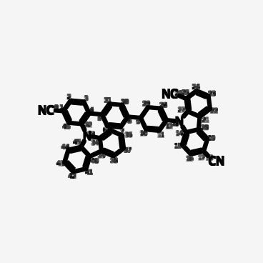 N#Cc1ccc(-c2ccc(C3C=CC(n4c5ccc(C#N)cc5c5cccc(C#N)c54)=CC3)cc2)c(-n2c3ccccc3c3ccccc32)c1